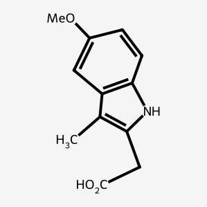 COc1ccc2[nH]c(CC(=O)O)c(C)c2c1